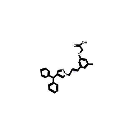 Cc1cc(/C=C/Cn2cc(C(c3ccccc3)c3ccccc3)cn2)cc(OCC(=O)O)c1